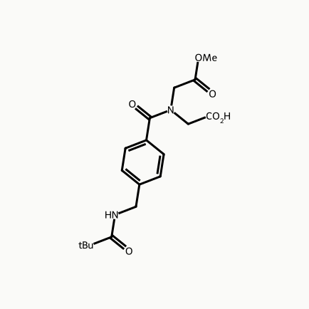 COC(=O)CN(CC(=O)O)C(=O)c1ccc(CNC(=O)C(C)(C)C)cc1